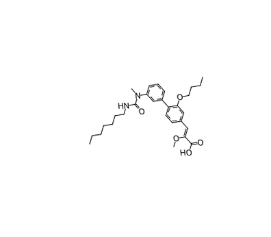 CCCCCCCNC(=O)N(C)c1cccc(-c2ccc(C=C(OC)C(=O)O)cc2OCCCC)c1